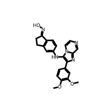 COc1ccc(-c2nc3cnccn3c2Nc2ccc3c(c2)CC/C3=N\O)cc1OC